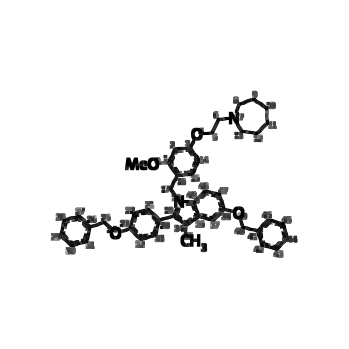 COc1cc(OCCN2CCCCCC2)ccc1Cn1c(-c2ccc(OCc3ccccc3)cc2)c(C)c2cc(OCc3ccccc3)ccc21